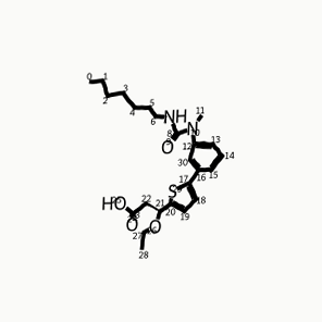 CCCCCCCNC(=O)N(C)c1cccc(-c2ccc([C@H](CC(=O)O)OCC)s2)c1